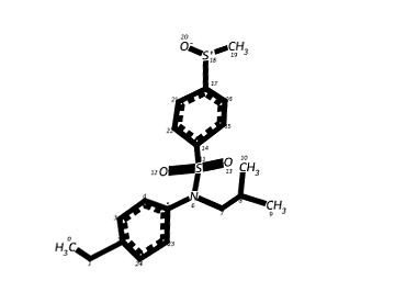 CCc1ccc(N(CC(C)C)S(=O)(=O)c2ccc([S+](C)[O-])cc2)cc1